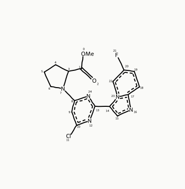 COC(=O)C1CCCN1c1cc(Cl)nc(-c2cnc3ccc(F)cn23)n1